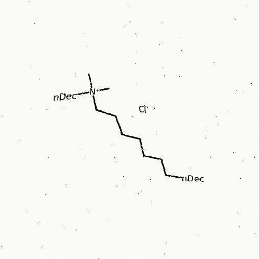 CCCCCCCCCCCCCCCCC[N+](C)(C)CCCCCCCCCC.[Cl-]